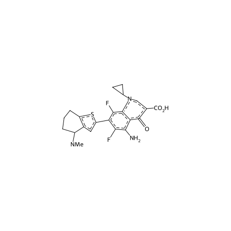 CNC1CCCc2sc(-c3c(F)c(N)c4c(=O)c(C(=O)O)cn(C5CC5)c4c3F)cc21